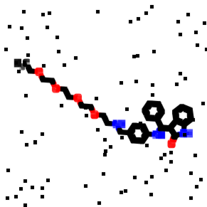 CCOCCOCCOCCOCCNCc1ccc(N/C(=C2\C(=O)Nc3ccccc32)c2ccccc2)cc1